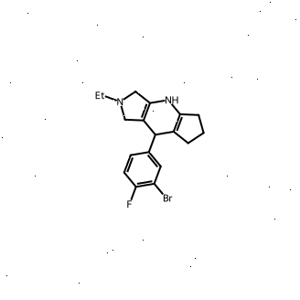 CCN1CC2=C(C1)C(c1ccc(F)c(Br)c1)C1=C(CCC1)N2